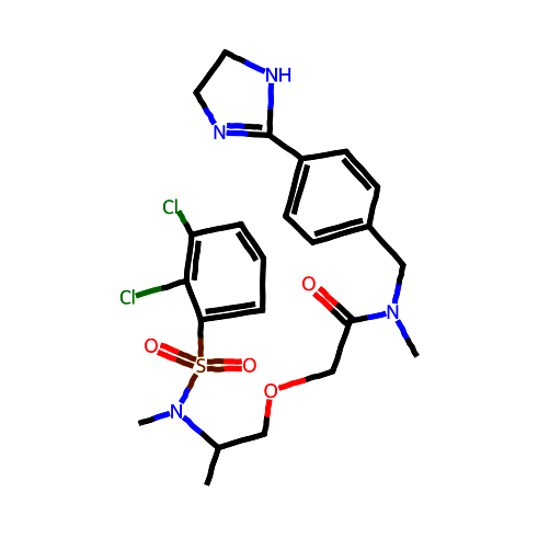 CC(COCC(=O)N(C)Cc1ccc(C2=NCCN2)cc1)N(C)S(=O)(=O)c1cccc(Cl)c1Cl